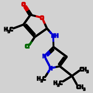 CC1=C(Cl)C(Nc2cc(C(C)(C)C)n(C)n2)OC1=O